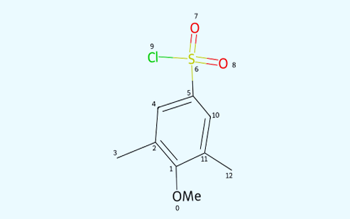 COc1c(C)cc(S(=O)(=O)Cl)cc1C